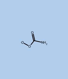 NC(=O)O[O]